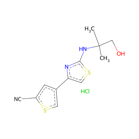 CC(C)(CO)Nc1nc(-c2csc(C#N)c2)cs1.Cl